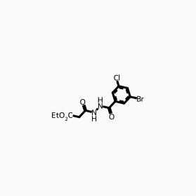 CCOC(=O)CC(=O)NNC(=O)c1cc(Cl)cc(Br)c1